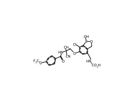 CC(C#N)(COc1cc(CNC(=O)O)c2c(c1Cl)B(O)OC2)NC(=O)c1ccc(OC(F)(F)F)cc1